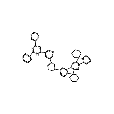 C1=C(c2cccc(-c3cc(-c4ccccc4)nc(-c4ccccc4)n3)c2)C=C(c2ccc3c(c2)-c2cc4c(cc2C32CCCCC2)-c2ccccc2C42CCCCC2)CC1